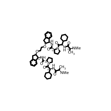 CN[C@@H](C)C(=O)N[C@H](C(=O)N1CCC[C@H]1C(=O)N[C@H]1c2ccccc2C[C@H]1OCCO[C@@H]1Cc2ccccc2[C@@H]1NC(=O)[C@@H]1CCCN1C(=O)[C@@H](NC(=O)[C@H](C)NC)C1CCCCC1)C1CCCCC1